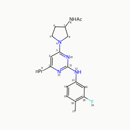 CCCc1cc(N2CCC(NC(C)=O)C2)nc(Nc2ccc(C)c(F)c2)n1